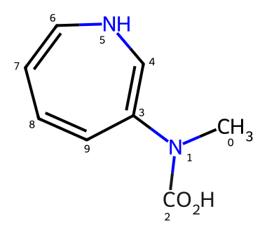 CN(C(=O)O)C1=CNC=CC=C1